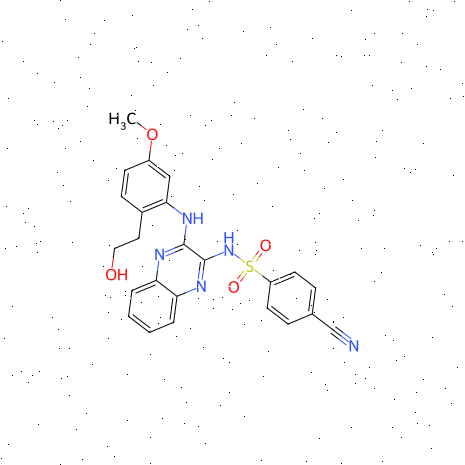 COc1ccc(CCO)c(Nc2nc3ccccc3nc2NS(=O)(=O)c2ccc(C#N)cc2)c1